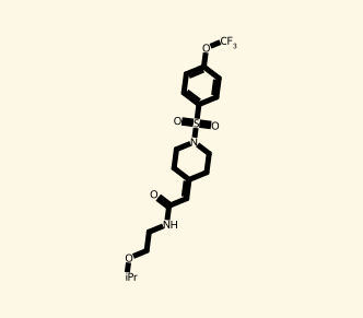 CC(C)OCCNC(=O)C=C1CCN(S(=O)(=O)c2ccc(OC(F)(F)F)cc2)CC1